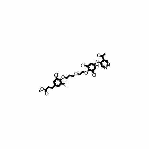 COC(=O)CCc1cc(Cl)c(OCCCOCCOc2c(Cl)cc(Nc3cnncc3C(C)=O)cc2Cl)c(Cl)c1